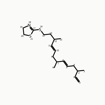 C=CC(C)CC=CC(C)CC=CC(C)CCSC1=NCCS1